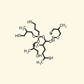 CC(S)CCC(C)C(O[SiH]1OCC(C)CO1)O[Si](CCCS)(OCC(C)CO)OCC(C)CO